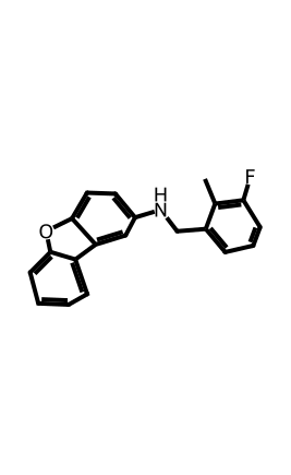 Cc1c(F)cccc1CNc1ccc2oc3ccccc3c2c1